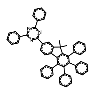 CC1(C)c2cc(-c3nc(-c4ccccc4)nc(-c4ccccc4)n3)ccc2-c2c(-c3ccccc3)c(-c3ccccc3)c(-c3ccccc3)c(-c3ccccc3)c21